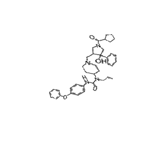 C=CCN(C(=O)Nc1ccc(Oc2ccccc2)cc1)C1CCN(CC2CN(C(=O)C3CCCC3)CC2(O)c2ccccc2)CC1